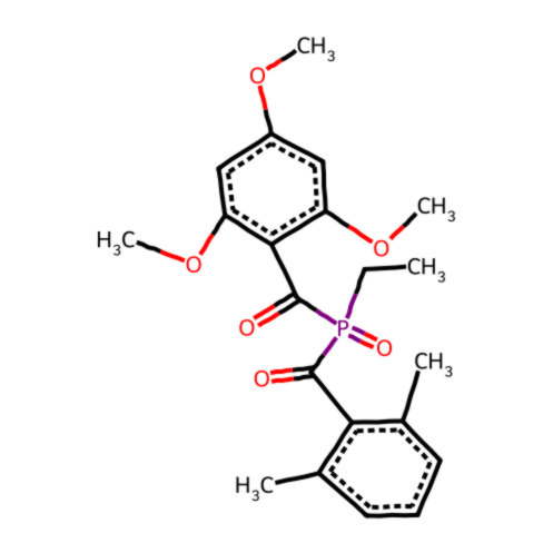 CCP(=O)(C(=O)c1c(C)cccc1C)C(=O)c1c(OC)cc(OC)cc1OC